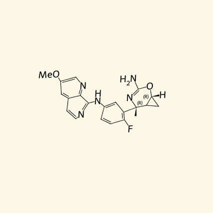 COc1cnc2c(Nc3ccc(F)c([C@]4(C)N=C(N)O[C@@H]5CC54)c3)nccc2c1